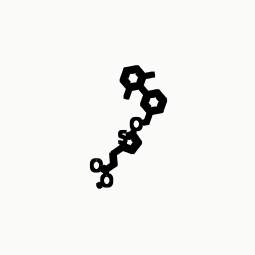 COC(=O)/C=C/c1ccc(OCc2cccc(-c3c(C)cccc3C)c2)s1